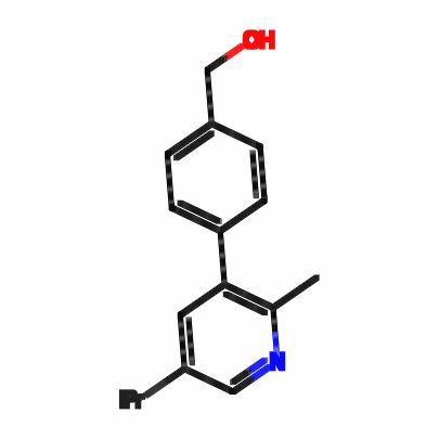 Cc1ncc(C(C)C)cc1-c1ccc(CO)cc1